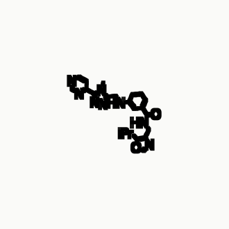 CC(C)c1ocnc1CNC(=O)c1cccc(NCc2nnc(-c3ccncn3)n2C)c1